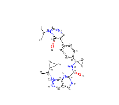 CC(C)n1cncc(-c2ccc(C3(NC(=O)c4ncc5cnn([C@@H](C)C6CC6)c5n4)CC3)cc2)c1=O